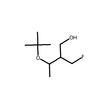 CC(OC(C)(C)C)C(CO)CF